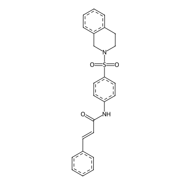 O=C(/C=C/c1ccccc1)Nc1ccc(S(=O)(=O)N2CCc3ccccc3C2)cc1